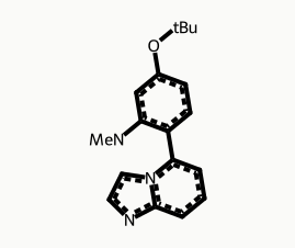 CNc1cc(OC(C)(C)C)ccc1-c1cccc2nccn12